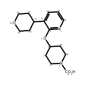 O=C(O)N1CCC(Oc2ncccc2C2CCOCC2)CC1